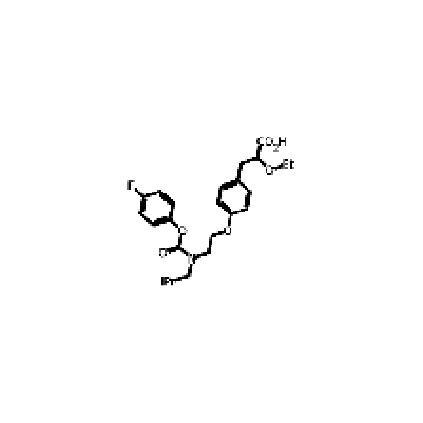 CCOC(Cc1ccc(OCCN(CC(C)C)C(=O)Oc2ccc(F)cc2)cc1)C(=O)O